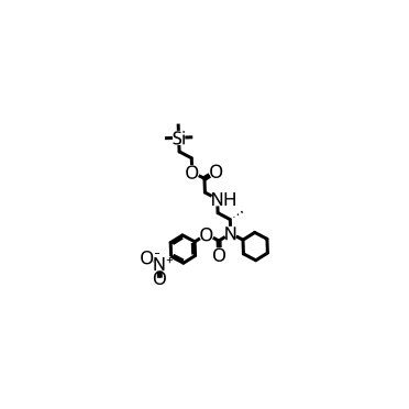 C[C@@H](CNCC(=O)OCC[Si](C)(C)C)N(C(=O)Oc1ccc([N+](=O)[O-])cc1)C1CCCCC1